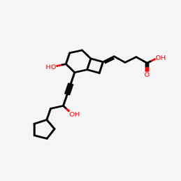 O=C(O)CCC=C1CC2C1CCC(O)C2C#CC(O)CC1CCCC1